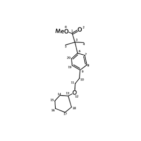 COC(=O)C(C)(C)c1ccc(CCOC2CCCCC2)cc1